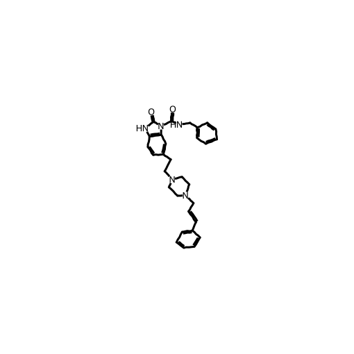 O=C(NCc1ccccc1)n1c(=O)[nH]c2ccc(CCN3CCN(CC=Cc4ccccc4)CC3)cc21